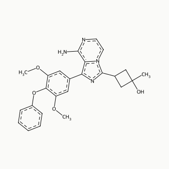 COc1cc(-c2nc(C3CC(C)(O)C3)n3ccnc(N)c23)cc(OC)c1Oc1ccccc1